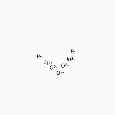 [In+3].[In+3].[O-2].[O-2].[O-2].[Pr].[Pr]